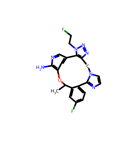 CC1Oc2cc(cnc2N)-c2c(nnn2CCF)Cn2ccnc2-c2ccc(F)cc21